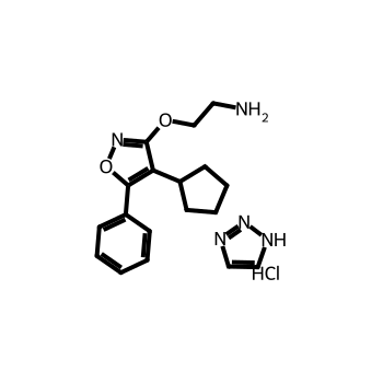 Cl.NCCOc1noc(-c2ccccc2)c1C1CCCC1.c1c[nH]nn1